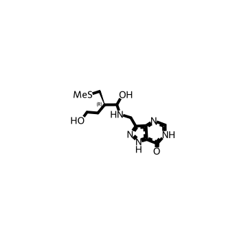 CSC[C@H](CCO)C(O)NCc1n[nH]c2c(=O)[nH]cnc12